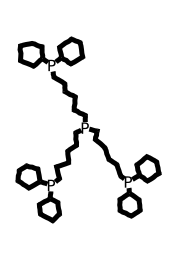 C1CCC(P(CCCCCCP(CCCCCCP(C2CCCCC2)C2CCCCC2)CCCCCCP(C2CCCCC2)C2CCCCC2)C2CCCCC2)CC1